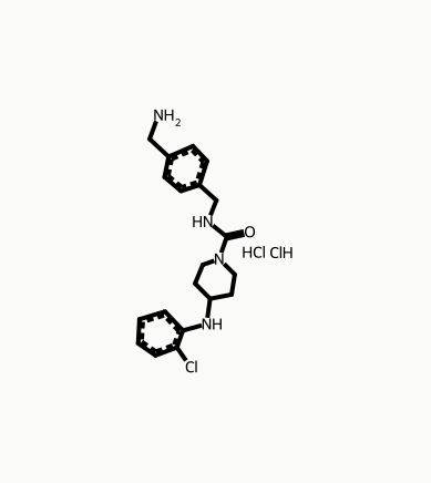 Cl.Cl.NCc1ccc(CNC(=O)N2CCC(Nc3ccccc3Cl)CC2)cc1